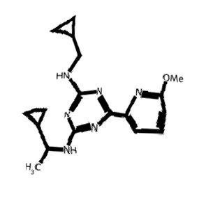 COc1cccc(-c2nc(NCC3CC3)nc(NC(C)C3CC3)n2)n1